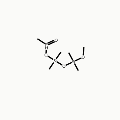 CO[Si](C)(C)O[Si](C)(C)O[PH](C)=O